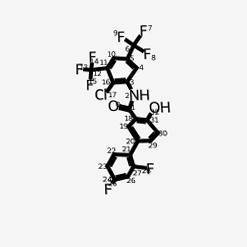 O=C(Nc1cc(C(F)(F)F)cc(C(F)(F)F)c1Cl)c1cc(-c2ccc(F)cc2F)ccc1O